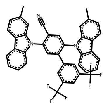 Cc1ccc2c3ccccc3n(-c3cc(-c4cc(C(F)(F)F)cc(C(F)(F)F)c4)c(-n4c5ccccc5c5ccc(C)cc54)cc3C#N)c2c1